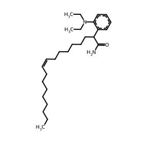 CCCCCCCC/C=C\CCCCCCC(C(N)=O)c1ccccc1N(CC)CC